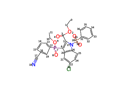 CCOC(=O)c1c(P(=O)(OCC)c2cccc(C#N)c2)c2cc(Cl)ccc2n1S(=O)(=O)c1ccccc1